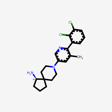 Cc1cc(N2CCC3(CCC[C@H]3N)CC2)cnc1-c1cccc(Cl)c1Cl